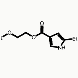 CCOCCOC(=O)c1c[nH]c(CC)c1